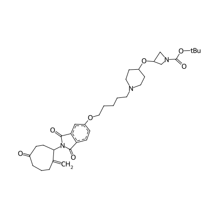 C=C1CCCC(=O)CCC1N1C(=O)c2ccc(OCCCCCN3CCC(OC4CN(C(=O)OC(C)(C)C)C4)CC3)cc2C1=O